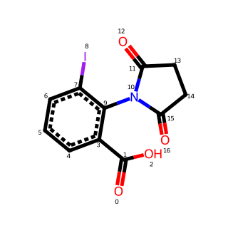 O=C(O)c1cccc(I)c1N1C(=O)CCC1=O